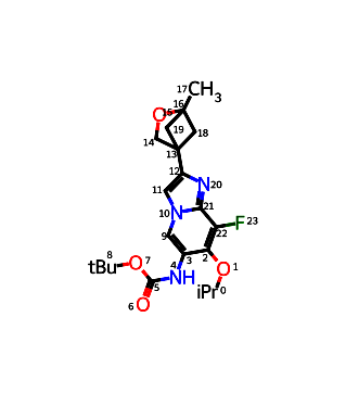 CC(C)Oc1c(NC(=O)OC(C)(C)C)cn2cc(C34COC(C)(C3)C4)nc2c1F